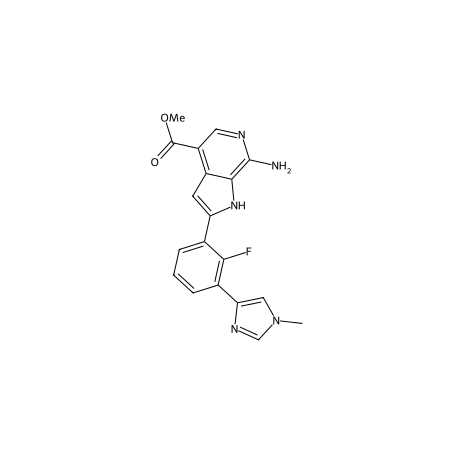 COC(=O)c1cnc(N)c2[nH]c(-c3cccc(-c4cn(C)cn4)c3F)cc12